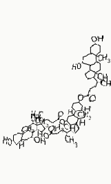 C[C@H](CCC(=O)O[C@H]1C[C@H]2[C@@H](CC[C@@H]3C[C@H](OC(=O)CC[C@@H](C)[C@H]4CCC5C6C(CC[C@@]54C)[C@@]4(C)CC[C@@H](O)CC4C[C@H]6O)CC[C@@]32C)[C@@H]2CC[C@H]([C@H](C)CCC(=O)O)[C@@]12C)[C@H]1CCC2C3C(C[C@H](O)[C@@]21C)[C@@]1(C)CC[C@@H](O)C[C@H]1C[C@H]3O